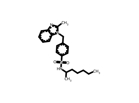 CCCCCC(C)NS(=O)(=O)c1ccc(Cn2c(C)nc3ccccc32)cc1